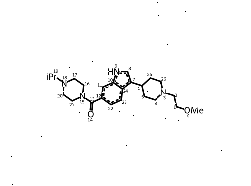 COCCN1CCC(c2c[nH]c3cc(C(=O)N4CCN(C(C)C)CC4)ccc23)CC1